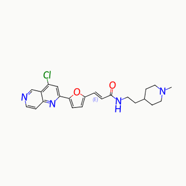 CN1CCC(CCNC(=O)/C=C/c2ccc(-c3cc(Cl)c4cnccc4n3)o2)CC1